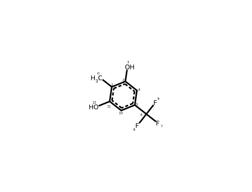 Cc1c(O)cc(C(F)(F)F)cc1O